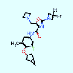 CCC1(CC)CN(c2nc(C(=O)Nc3cc(C)c(OC4CC5CC5C4)c(F)c3)c(CN3CCC3)o2)C1